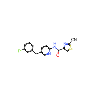 N#Cc1nc(C(=O)Nc2ccc(Cc3cccc(F)c3)cn2)cs1